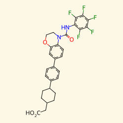 O=C(O)CC1CCC(c2ccc(-c3ccc4c(c3)OCCN4C(=O)Nc3c(F)c(F)c(F)c(F)c3F)cc2)CC1